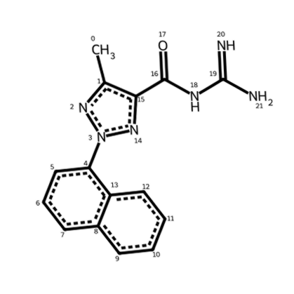 Cc1nn(-c2cccc3ccccc23)nc1C(=O)NC(=N)N